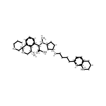 C[C@@H]1CO[C@]2(CCCOC2)c2cccc([C@H](C(=O)O)N(C)[C@H]3CC[C@H](OCCCCc4ccc5c(n4)NCCC5)C3)c21